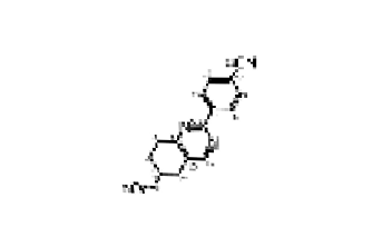 CCCCCCCCC1CCc2nc(-c3ccc(C#N)cc3)ncc2C1